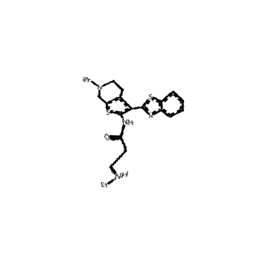 CCNCCC(=O)Nc1sc2c(c1-c1nc3ccccc3s1)CCN(C(C)C)C2